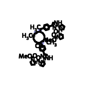 C/C=C1\C=C(\c2ccc(-c3c[nH]c([C@@H]4CCCN4C(=O)[C@@H]4CCCN4C(=O)OC)n3)cc2)[C@H](C)CC[C@@H](C)/C=C\C(=C(/C)c2ccc(-c3c[nH]c([C@@H]4CCCN4C(=O)[C@@H]4CCCN4C(=O)OC)n3)cc2)CC1